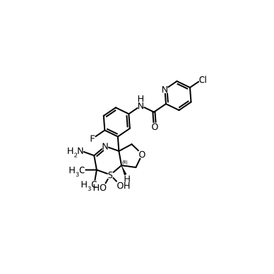 CC1(C)C(N)=NC2(c3cc(NC(=O)c4ccc(Cl)cn4)ccc3F)COC[C@@H]2S1(O)O